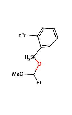 CCCc1ccccc1[SiH2]OC(CC)OC